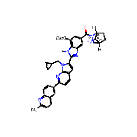 COc1cc(C(=O)N2C[C@H]3CC[C@@H]2[C@@H]3N)cc2nc(-c3cc4ccc(-c5ccc6nc(C#N)ccc6c5)nc4n3CC3CC3)n(C)c12